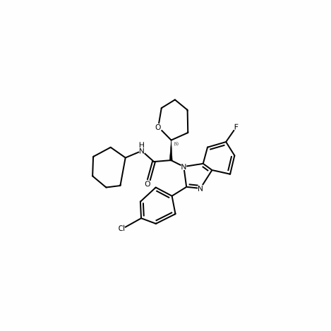 O=C(NC1CCCCC1)C([C@@H]1CCCCO1)n1c(-c2ccc(Cl)cc2)nc2ccc(F)cc21